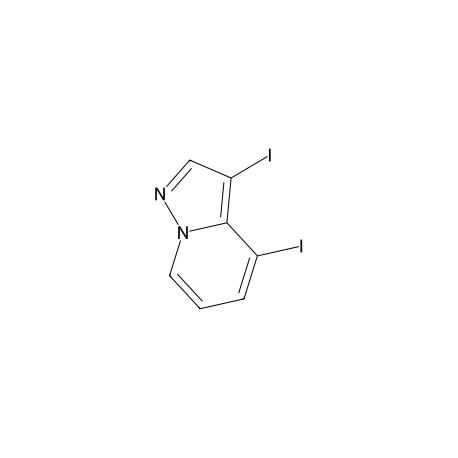 Ic1cccn2ncc(I)c12